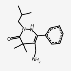 CC(C)CN1NC(c2ccccc2)=C(CN)C(C)(C)C1=O